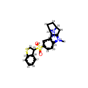 Cn1c2c(c3cc(S(=O)(=O)C4CSc5ccccc54)ccc31)C1CCC(C2)N1